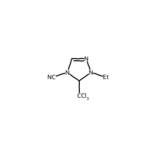 CCN1N=CN(C#N)C1C(Cl)(Cl)Cl